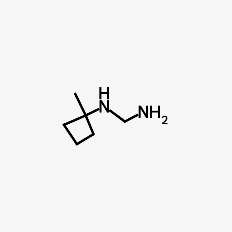 CC1(NCN)CCC1